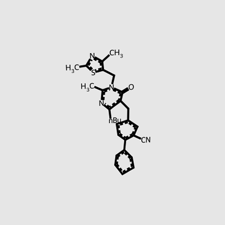 CCCCc1nc(C)n(Cc2sc(C)nc2C)c(=O)c1Cc1ccc(-c2ccccc2)c(C#N)c1